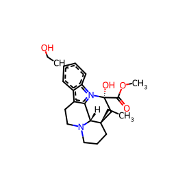 CCO.CC[C@]12CCCN3CCc4c(n(c5ccccc45)[C@@](O)(C(=O)OC)C1)[C@@H]32